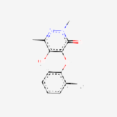 Cc1nn(C)c(=O)c(Oc2ccccc2C(F)(F)F)c1O